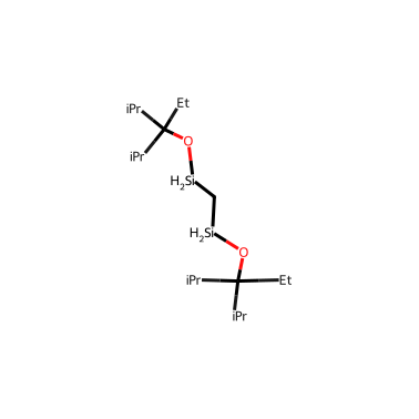 CCC(O[SiH2]C[SiH2]OC(CC)(C(C)C)C(C)C)(C(C)C)C(C)C